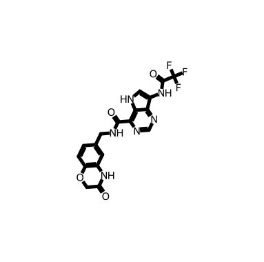 O=C1COc2ccc(CNC(=O)c3ncnc4c(NC(=O)C(F)(F)F)c[nH]c34)cc2N1